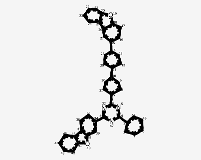 c1ccc(-c2nc(-c3ccc(-c4ccc(-c5ccc6oc7ccccc7c6c5)cc4)cc3)nc(-c3ccc4c(c3)oc3ccccc34)n2)cc1